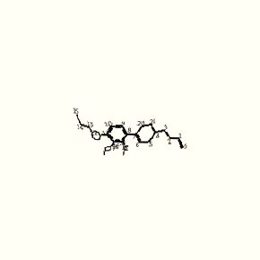 C=CCCC1CC=C(c2ccc(OCCC)c(F)c2F)CC1